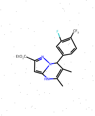 CCOC(=O)c1cc2n(n1)C(c1ccc(C(F)(F)F)c(F)c1)C(C)=C(C)N2